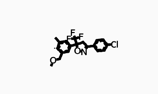 COCc1[c]c(C)cc(C2(C(F)(F)F)CC(c3ccc(Cl)cc3)=NO2)c1